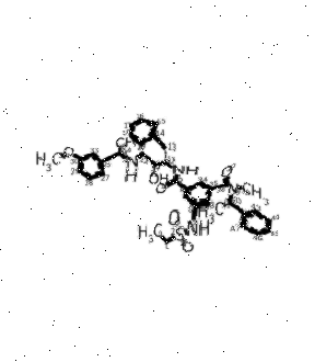 CCS(=O)(=O)Nc1cc(C(=O)N[C@@H](Cc2ccccc2)[C@H](O)CN[C@H](C)c2cccc(OC)c2)cc(C(=O)N(C)[C@@H](C)c2ccccc2)c1